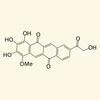 COc1c(O)c(O)c(O)c2c1C=C1C(=O)c3ccc(C(=O)CO)cc3C=C1C2=O